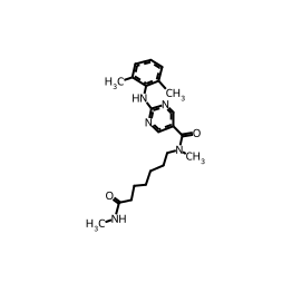 CNC(=O)CCCCCCN(C)C(=O)c1cnc(Nc2c(C)cccc2C)nc1